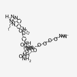 CCCCc1nc2c(N)nc3ccccc3c2n1Cc1ccc(CN(CC2CCC2)C(=O)OCc2ccc(NC(=O)[C@H](CCCNC(N)=O)NC(=O)[C@@H](NC(=O)CCOCCOCCOCCOCCN=[N+]=[N-])C(C)C)cc2)cc1